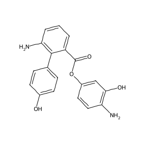 Nc1ccc(OC(=O)c2cccc(N)c2-c2ccc(O)cc2)cc1O